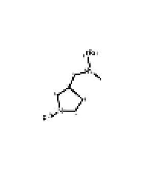 CC(C)N1CCC(CN(C)C(C)(C)C)C1